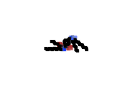 CCCCCCCC[N+](C)(CCCCCC)CC1=CC(Br)C(Br)(C[N+](C)(CCCCCC)CCCCCCCC)C=C1